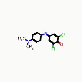 CN(C)c1ccc(N=C2C=C(Cl)C(=O)C(Cl)=C2)cc1